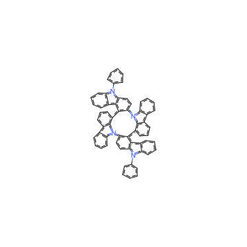 c1ccc(-n2c3ccccc3c3c4c5cccc6c7ccccc7n(c7ccc8c(c9ccccc9n8-c8ccccc8)c7c7cccc8c9ccccc9n(c4ccc32)c87)c65)cc1